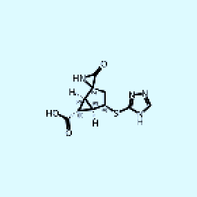 O=C(O)[C@H]1[C@H]2[C@@H]1[C@]1(C[C@H]2Sc2nnc[nH]2)NC1=O